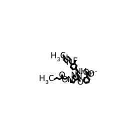 CCCCC(=O)OCn1ccc2c(Oc3cccc([N+](=O)[O-])c3)nc(Nc3ccc(N4CCN(C)CC4)c(F)c3)nc21